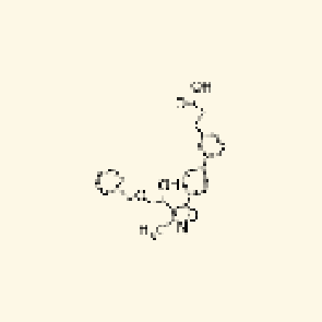 Cc1noc(-c2ccc(-c3cccc(CCC(=O)O)c3)cc2)c1C(O)COCc1ccccc1